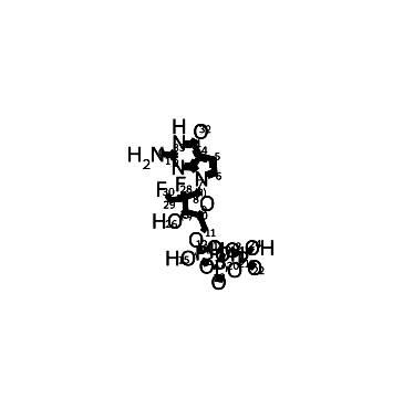 Nc1nc2c(ccn2[C@@H]2OC(COP(=O)(O)OP(=O)(O)OP(=O)(O)O)[C@H](O)C2(F)CF)c(=O)[nH]1